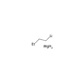 [Li][CH2]CCC.[MgH2]